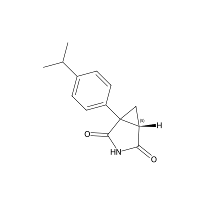 CC(C)c1ccc(C23C[C@@H]2C(=O)NC3=O)cc1